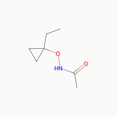 CCC1(ONC(C)=O)CC1